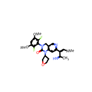 CN/C=C(\C(C)=N)c1cc2c(cn1)CN(c1c(F)c(OC)cc(OC)c1F)C(=O)N2C1CCOC1